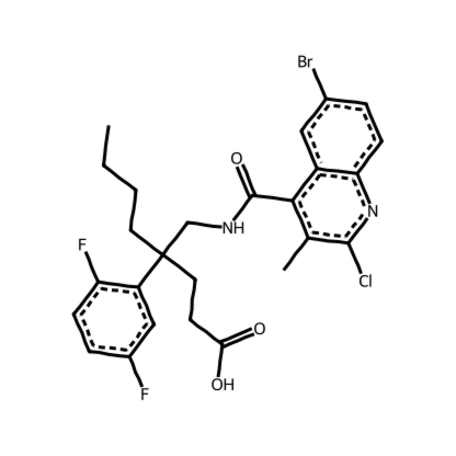 CCCCC(CCC(=O)O)(CNC(=O)c1c(C)c(Cl)nc2ccc(Br)cc12)c1cc(F)ccc1F